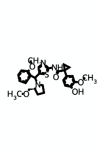 COC[C@@H]1CCCN1C(c1cnc(NC(=O)C2(c3ccc(O)c(OC)c3)CC2)s1)c1ccccc1OC